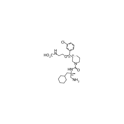 C[C@@](CN)(CC1CCCCC1)NC(=O)N1CCC[C@@H]([C@@H](OCCNC(=O)O)c2cccc(Cl)c2)C1